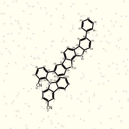 N#Cc1ccc2c(c1)c1ccccc1n2-c1c(C#N)cccc1-c1ccc2sc3c4c(ccc3c2c1)C1C=C(c2ccccc2)C=CC1S4